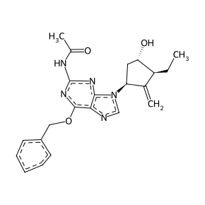 C=C1[C@H](CC)[C@@H](O)C[C@@H]1n1cnc2c(OCc3ccccc3)nc(NC(C)=O)nc21